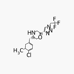 CC1CC(C[C@H]2CO[C@@H](c3cn(CC(F)(F)F)nn3)CN2)=CC=C1Cl